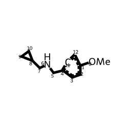 COc1ccc(CNCC2CC2)cc1